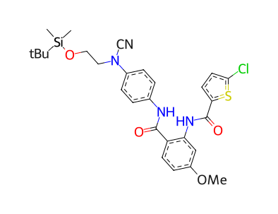 COc1ccc(C(=O)Nc2ccc(N(C#N)CCO[Si](C)(C)C(C)(C)C)cc2)c(NC(=O)c2ccc(Cl)s2)c1